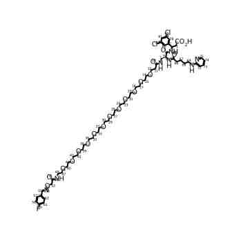 O=C(O)CC(NC(=O)[C@H](CNC(=O)CCOCCOCCOCCOCCOCCOCCOCCOCCOCCOCCOCCOCCNC(=O)CON=Cc1ccc(F)cc1)NC(=O)CCCCNc1ccccn1)c1cc(Cl)cc(Cl)c1